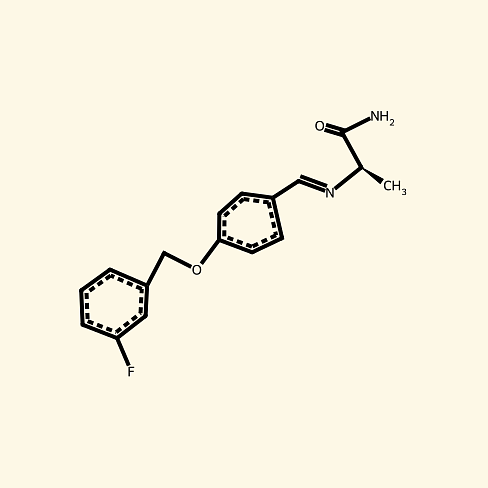 C[C@@H](N=Cc1ccc(OCc2cccc(F)c2)cc1)C(N)=O